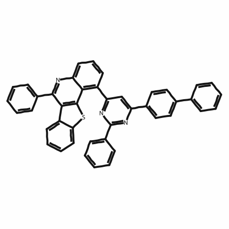 c1ccc(-c2ccc(-c3cc(-c4cccc5nc(-c6ccccc6)c6c7ccccc7sc6c45)nc(-c4ccccc4)n3)cc2)cc1